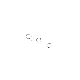 Cc1cnc(C(O)(C(C)c2ccc(OCc3cccc(C(=O)O)c3)cc2Cl)C(F)(F)F)cn1